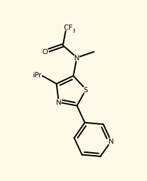 CC(C)c1nc(-c2cccnc2)sc1N(C)C(=O)C(F)(F)F